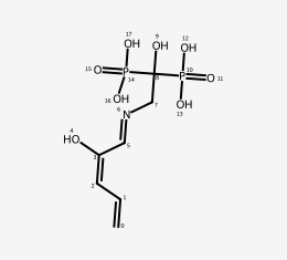 C=C/C=C(O)\C=N\CC(O)(P(=O)(O)O)P(=O)(O)O